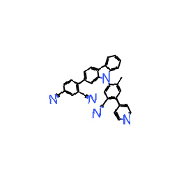 Cc1cc(-c2ccncc2)c(C#N)cc1-n1c2ccccc2c2ccc(-c3ccc(C#N)cc3C#N)cc21